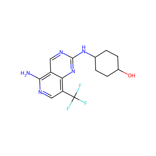 Nc1ncc(C(F)(F)F)c2nc(NC3CCC(O)CC3)ncc12